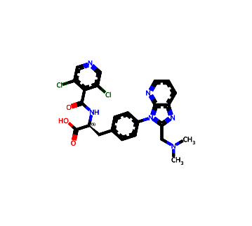 CN(C)Cc1nc2cccnc2n1-c1ccc(C[C@H](NC(=O)c2c(Cl)cncc2Cl)C(=O)O)cc1